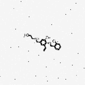 C=Cc1cc(CNCCO)cc(OC)c1OCc1ccccc1Cl